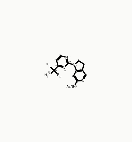 CC(=O)Nc1cc2c(cn1)CCN2c1nccc(C(C)(F)F)n1